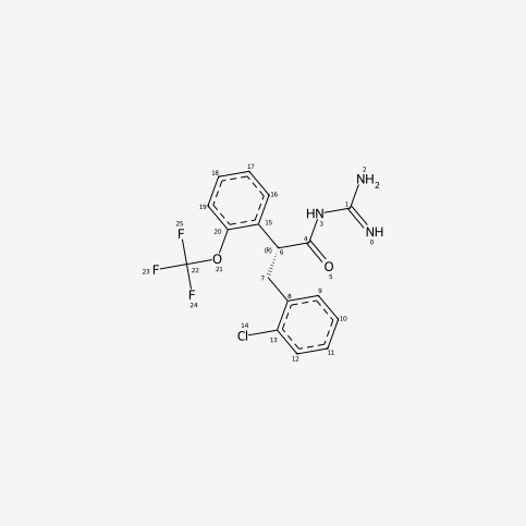 N=C(N)NC(=O)[C@H](Cc1ccccc1Cl)c1ccccc1OC(F)(F)F